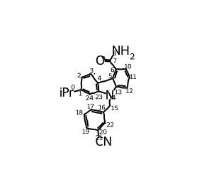 CC(C)c1c[c]c2c3c(C(N)=O)cccc3n(Cc3cccc(C#N)c3)c2c1